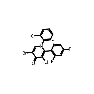 O=c1c(Br)cn(-c2ccccc2Cl)c(-c2c(F)cc(F)cc2F)c1Cl